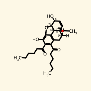 CCCCCC(=O)c1c(O)c2c3c(c1C(=O)CCCCC)C[C@@H]1[C@@H]4C=C[C@H](O)[C@H](O2)[C@]34CCN1C